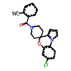 N#Cc1ccccc1C(=O)N1CCC2(CC1)Oc1cc(Cl)ccc1-n1cccc12